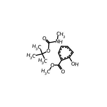 CNC(=O)OC(C)(C)C.COC(=O)c1ccccc1O